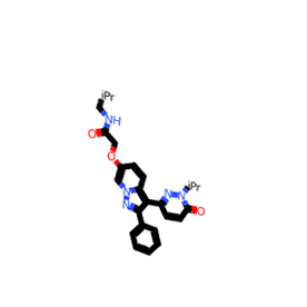 CC(C)CNC(=O)COc1ccc2c(-c3ccc(=O)n(C(C)C)n3)c(-c3ccccc3)nn2c1